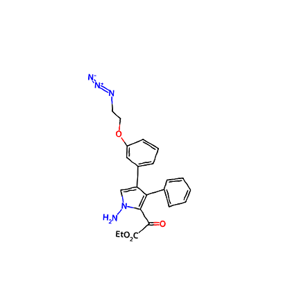 CCOC(=O)C(=O)c1c(-c2ccccc2)c(-c2cccc(OCCN=[N+]=[N-])c2)cn1N